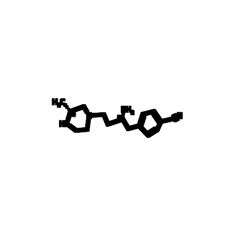 C[C@@H]1CN(CC[C@H](N)Cc2ccc(C#N)cc2)CCN1